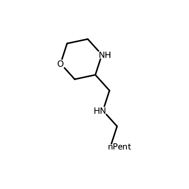 CCCCCCNCC1COCCN1